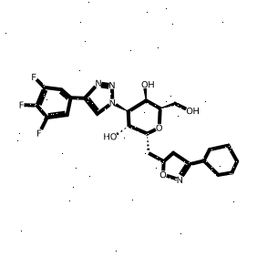 OC[C@H]1O[C@H](CC2CC(C3CCCCC3)=NO2)[C@H](O)[C@@H](n2cc(-c3cc(F)c(F)c(F)c3)nn2)[C@H]1O